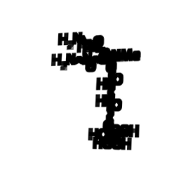 CNC(COCCC(=O)NCCCN)(COCCC(=O)NCCCN)COCCC(=O)NCCCNC(=O)CCCCO[C@H]1OC(CO)[C@@H](O)C(O)C1O